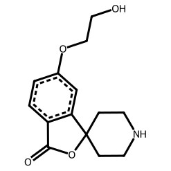 O=C1OC2(CCNCC2)c2cc(OCCO)ccc21